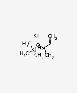 C=C[SiH](C)O[Si](C)(C)C.[Si]